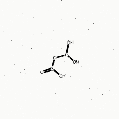 O=S(O)OP(O)O